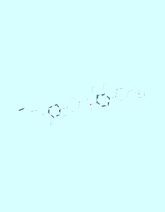 C=CCCOc1ccc(C2CCC(OC(=O)c3ccc(C4CCC(OCC)CC4)c(F)c3F)CC2)c(F)c1F